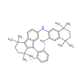 Cc1cc2c(cc1Nc1ccc3c4c(n(-c5c(F)cccc5F)c3c1)C(C)(C)CCC4(C)C)C(C)(C)CCC2(C)C